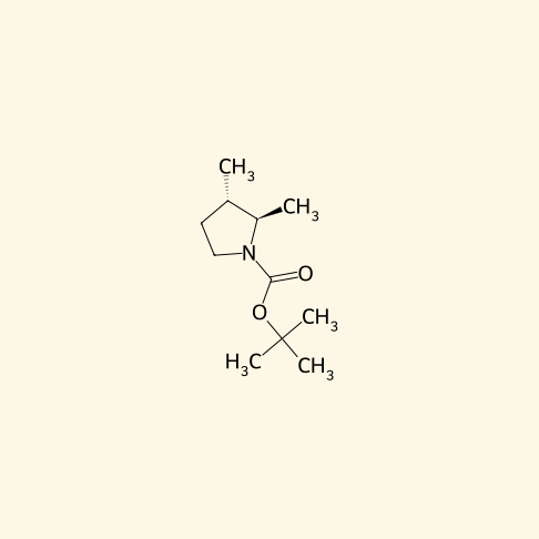 C[C@@H]1[C@@H](C)CCN1C(=O)OC(C)(C)C